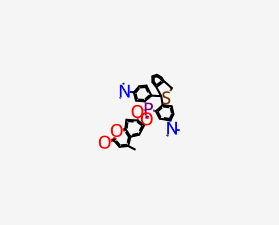 Cc1cc(=O)oc2cc(OP3(=O)c4cc(N(C)C)ccc4C4(SCc5ccccc54)c4ccc(N(C)C)cc43)ccc12